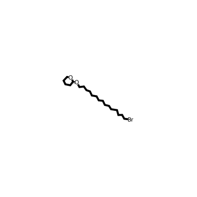 BrCCCCCCCCCCCCCCCO[C@H]1CCCCO1